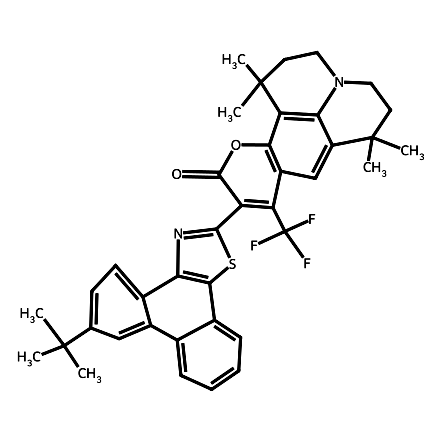 CC(C)(C)c1ccc2c(c1)c1ccccc1c1sc(-c3c(C(F)(F)F)c4cc5c6c(c4oc3=O)C(C)(C)CCN6CCC5(C)C)nc21